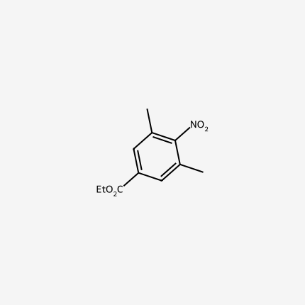 CCOC(=O)c1cc(C)c([N+](=O)[O-])c(C)c1